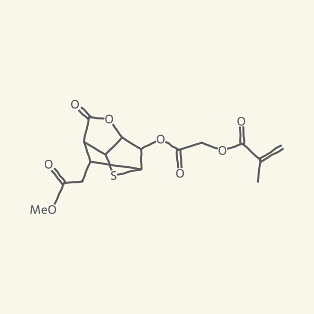 C=C(C)C(=O)OCC(=O)OC1C2OC(=O)C3C(CC(=O)OC)C1SC23